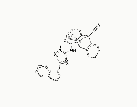 CC1(C(=O)Nc2nc(-c3cccc4ccccc34)n[nH]2)CC2(C#N)c3ccccc3C1c1ccccc12